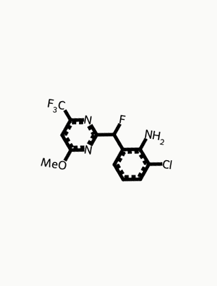 COc1cc(C(F)(F)F)nc(C(F)c2cccc(Cl)c2N)n1